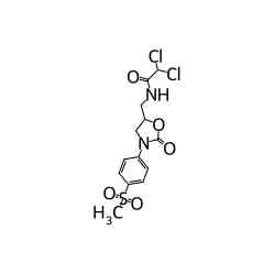 CS(=O)(=O)c1ccc(N2CC(CNC(=O)C(Cl)Cl)OC2=O)cc1